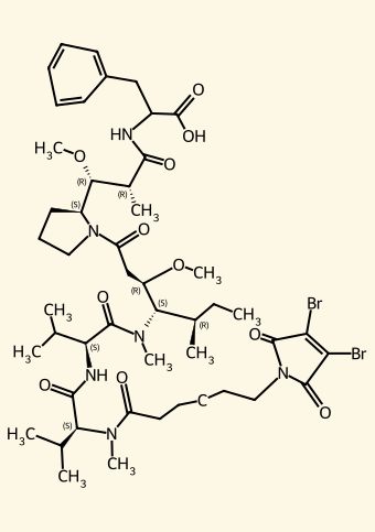 CC[C@@H](C)[C@@H]([C@@H](CC(=O)N1CCC[C@H]1[C@H](OC)[C@@H](C)C(=O)NC(Cc1ccccc1)C(=O)O)OC)N(C)C(=O)[C@@H](NC(=O)[C@H](C(C)C)N(C)C(=O)CCCCCN1C(=O)C(Br)=C(Br)C1=O)C(C)C